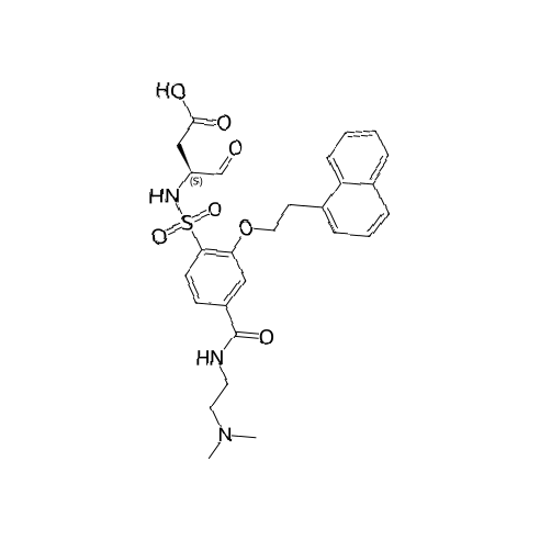 CN(C)CCNC(=O)c1ccc(S(=O)(=O)N[C@H](C=O)CC(=O)O)c(OCCc2cccc3ccccc23)c1